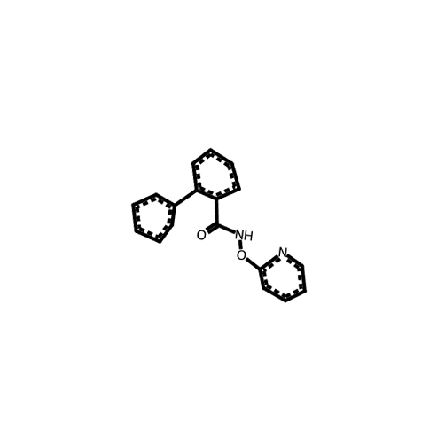 O=C(NOc1ccccn1)c1ccccc1-c1ccccc1